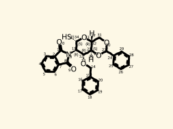 O=C1c2ccccc2C(=O)N1[C@@H]1[C@@H](OCc2ccccc2)[C@@H]2OC(c3ccccc3)OC[C@H]2O[C@H]1S